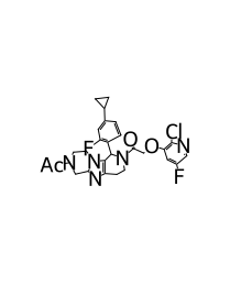 CC(=O)N1CCn2c(nc3c2C(c2ccc(C4CC4)cc2F)N(C(=O)COc2cc(F)cnc2Cl)CC3)C1